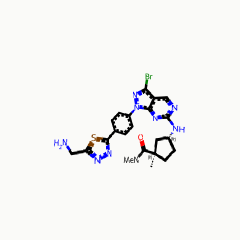 CNC(=O)[C@]1(C)CC[C@@H](Nc2ncc3c(Br)nn(-c4ccc(-c5nnc(CN)s5)cc4)c3n2)C1